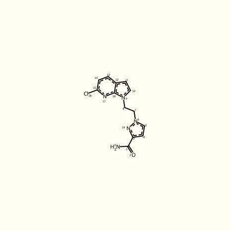 NC(=O)c1[c]cn(CCn2ccc3ccc(Cl)nc32)n1